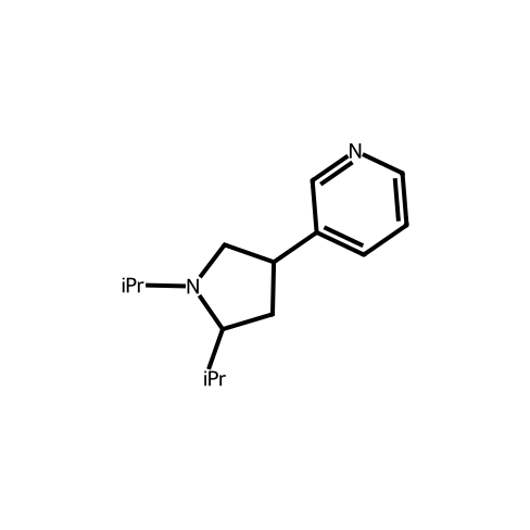 CC(C)C1CC(c2cccnc2)CN1C(C)C